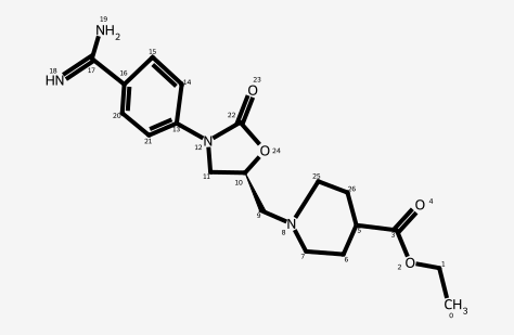 CCOC(=O)C1CCN(C[C@H]2CN(c3ccc(C(=N)N)cc3)C(=O)O2)CC1